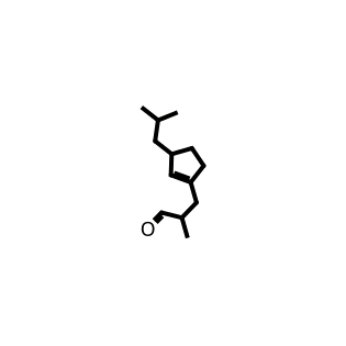 CC(C)CC1C=C(CC(C)C=O)CC1